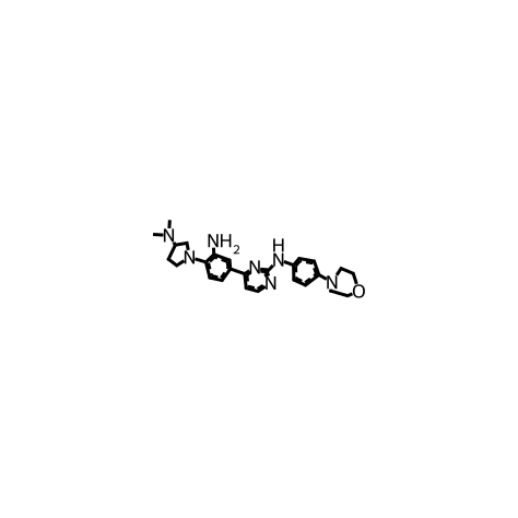 CN(C)C1CCN(c2ccc(-c3ccnc(Nc4ccc(N5CCOCC5)cc4)n3)cc2N)C1